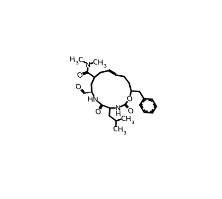 CC(C)CC1NC(=O)OC(Cc2ccccc2)CC/C=C/CC(C(=O)N(C)C)C[C@H](C=O)NC1=O